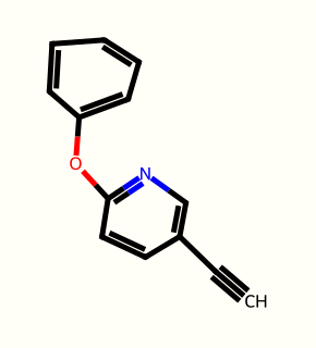 C#Cc1ccc(Oc2ccccc2)nc1